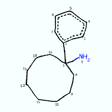 NC1(c2ccccc2)CCCCCCCC1